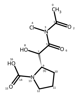 CC(=O)N(Cl)C(=O)C(O)[C@@H]1CCCN1C(=O)O